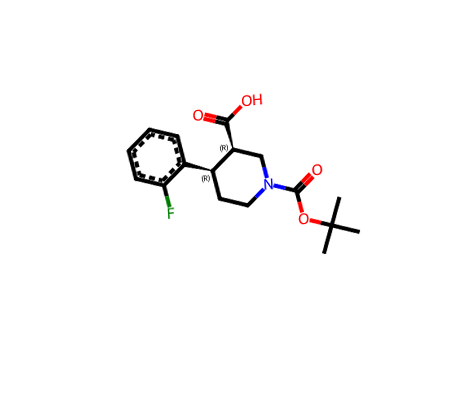 CC(C)(C)OC(=O)N1CC[C@@H](c2ccccc2F)[C@@H](C(=O)O)C1